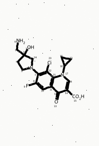 NCC1(O)CCN(c2c(F)cc3c(=O)c(C(=O)O)cn(C4CC4)c3c2Cl)C1